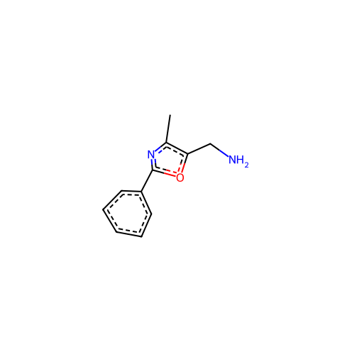 Cc1nc(-c2ccccc2)oc1CN